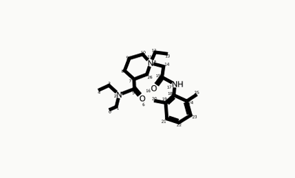 CCN(CC)C(=O)C1CCC[N+](CC)(CC(=O)Nc2c(C)cccc2C)C1